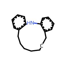 c1ccc2c(c1)CCCCCCCc1ccccc1N2